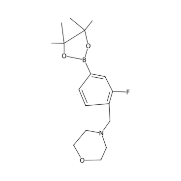 CC1(C)OB(c2ccc(CN3CCOCC3)c(F)c2)OC1(C)C